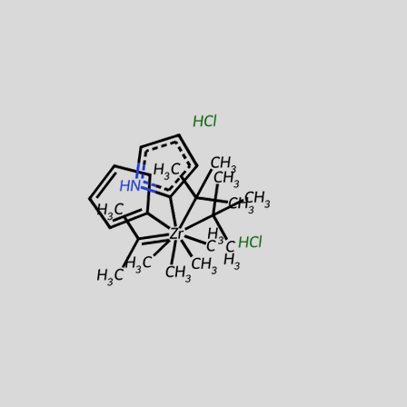 C[C](C)=[Zr]([CH3])([CH3])([CH3])([CH3])([C]1=CC=CC1)([c]1ccc[nH]1)([C](C)(C)C)[C](C)(C)C.Cl.Cl